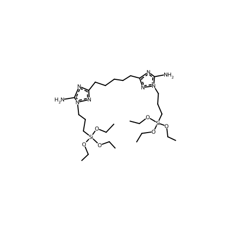 CCO[Si](CCCn1nc(CCCCCc2nc(N)n(CCC[Si](OCC)(OCC)OCC)n2)nc1N)(OCC)OCC